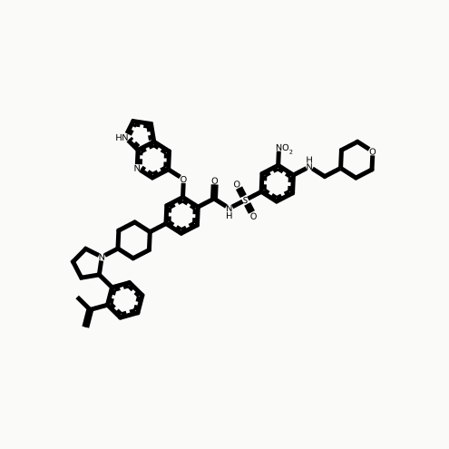 C=C(C)c1ccccc1C1CCCN1C1CCC(c2ccc(C(=O)NS(=O)(=O)c3ccc(NCC4CCOCC4)c([N+](=O)[O-])c3)c(Oc3cnc4[nH]ccc4c3)c2)CC1